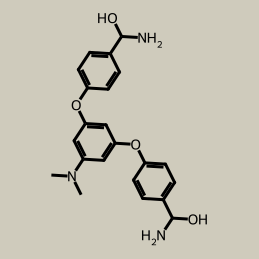 CN(C)c1cc(Oc2ccc(C(N)O)cc2)cc(Oc2ccc(C(N)O)cc2)c1